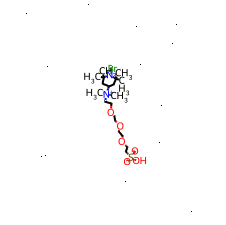 CC1(C)CC([N+](C)(C)CCOCCOCCOCCS(=O)(=O)O)CC(C)(C)N1Br